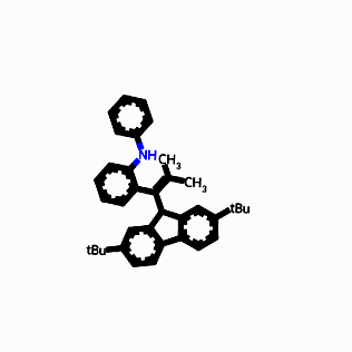 CC(C)=C(c1ccccc1Nc1ccccc1)C1c2cc(C(C)(C)C)ccc2-c2ccc(C(C)(C)C)cc21